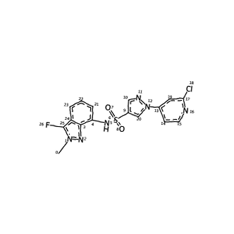 Cn1nc2c(NS(=O)(=O)c3cnn(-c4ccnc(Cl)c4)c3)cccc2c1F